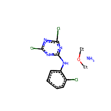 CCOCC.Clc1nc(Cl)nc(Nc2ccccc2Cl)n1.N